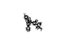 C=C/C(=C\C(F)=C\F)C(CN(C)C)n1ccc(-c2cn(S(=O)(=O)c3ccc(C)cc3)c3ncc(N4CCOCC4)cc23)cc1=O